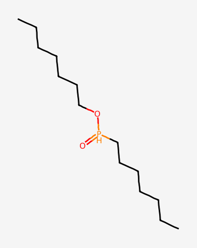 CCCCCCCO[PH](=O)CCCCCCC